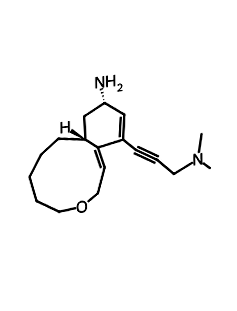 CN(C)CC#CC1=C[C@@H](N)C[C@H]2CCCCCOC/C=C/12